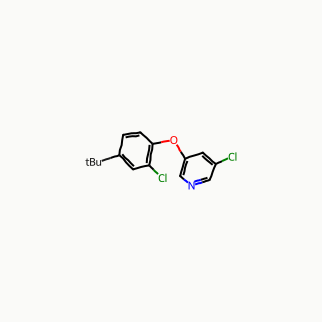 CC(C)(C)c1ccc(Oc2cncc(Cl)c2)c(Cl)c1